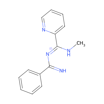 CN/C(=N\C(=N)c1ccccc1)c1ccccn1